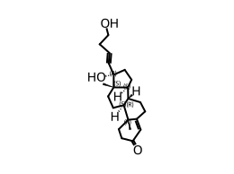 C[C@]12CCC(=O)C=C1CC[C@@H]1[C@@H]2CC[C@@]2(C)[C@H]1CC[C@]2(O)C#CCCO